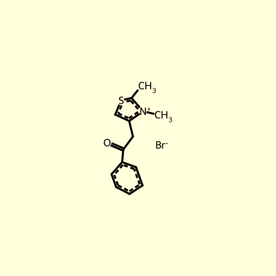 Cc1scc(CC(=O)c2ccccc2)[n+]1C.[Br-]